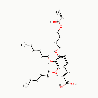 C=CC(=O)OCCCCOc1ccc(/C=C/C(=O)O)c(OCCCCCC)c1OCCCCCC